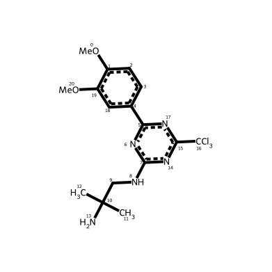 COc1ccc(-c2nc(NCC(C)(C)N)nc(C(Cl)(Cl)Cl)n2)cc1OC